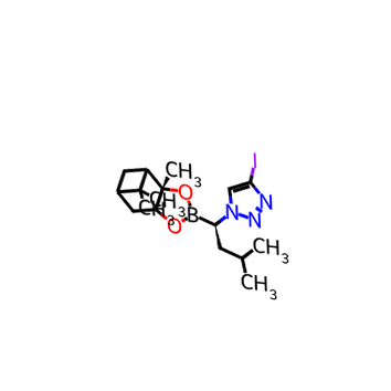 CC(C)C[C@@H](B1OC2CC3CC(C3(C)C)[C@]2(C)O1)n1cc(I)nn1